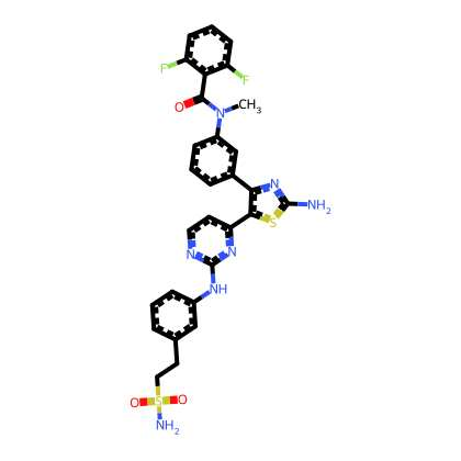 CN(C(=O)c1c(F)cccc1F)c1cccc(-c2nc(N)sc2-c2ccnc(Nc3cccc(CCS(N)(=O)=O)c3)n2)c1